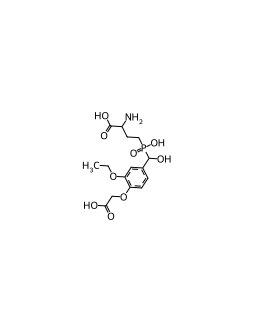 CCOc1cc(C(O)P(=O)(O)CCC(N)C(=O)O)ccc1OCC(=O)O